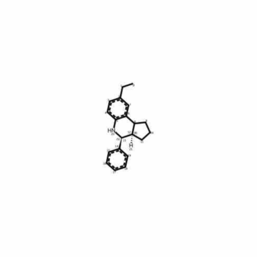 CCc1ccc2c(c1)C1CCC[C@H]1[C@@H](c1ccccc1)N2